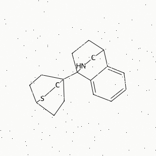 c1ccc2c(c1)C1CCC2(C23CCC(CC2)SC3)NC1